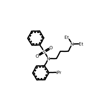 CCN(CC)CCCN(c1ccccc1C(C)C)S(=O)(=O)c1ccccc1